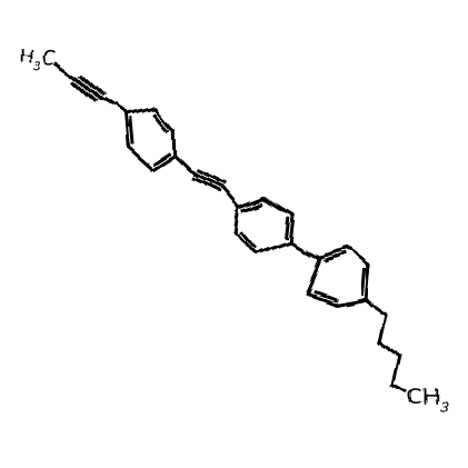 CC#Cc1ccc(C#Cc2ccc(-c3ccc(CCCCC)cc3)cc2)cc1